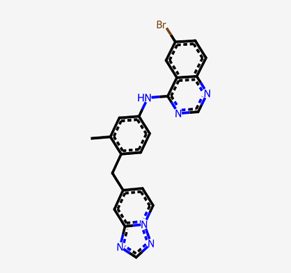 Cc1cc(Nc2ncnc3ccc(Br)cc23)ccc1Cc1ccn2ncnc2c1